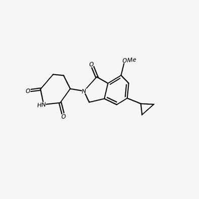 COc1cc(C2CC2)cc2c1C(=O)N(C1CCC(=O)NC1=O)C2